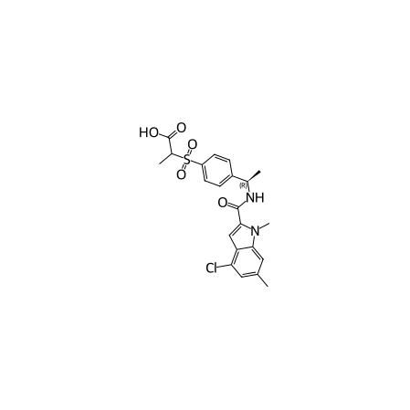 Cc1cc(Cl)c2cc(C(=O)N[C@H](C)c3ccc(S(=O)(=O)C(C)C(=O)O)cc3)n(C)c2c1